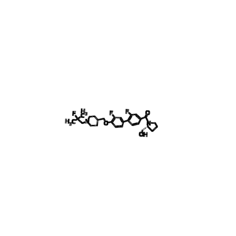 CC(C)(F)CN1CCC(COc2ccc(-c3ccc(C(=O)N4CCC[C@@H]4CO)cc3F)cc2F)CC1